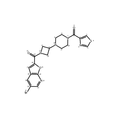 O=C(c1cscn1)N1CCN(C2CN(C(=O)c3cc4cc(Br)cnc4o3)C2)CC1